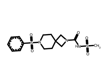 CS(=O)(=O)NC(=O)N1CC2(CCN(S(=O)(=O)c3ccccc3)CC2)C1